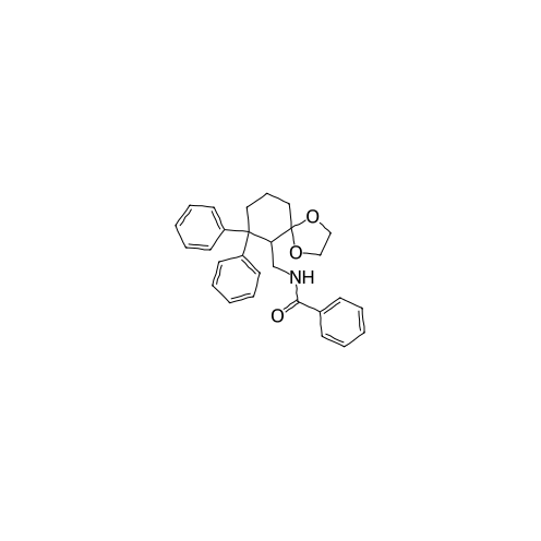 O=C(NCC1C2(CCCC1(c1ccccc1)c1ccccc1)OCCO2)c1ccccc1